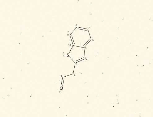 O=CCc1cc2ccccc2s1